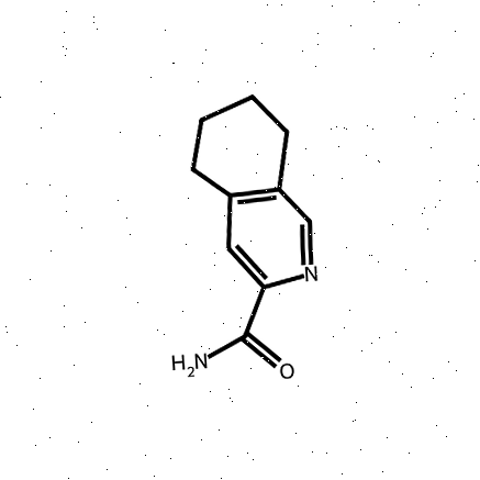 NC(=O)c1cc2c(cn1)CCCC2